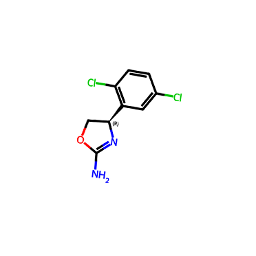 NC1=N[C@H](c2cc(Cl)ccc2Cl)CO1